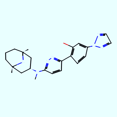 CN(c1ccc(-c2ccc(-n3nccn3)cc2O)nn1)[C@@H]1C[C@H]2CCC[C@@H](C1)N2